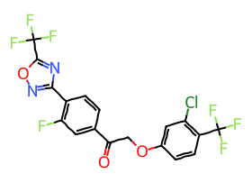 O=C(COc1ccc(C(F)(F)F)c(Cl)c1)c1ccc(-c2noc(C(F)(F)F)n2)c(F)c1